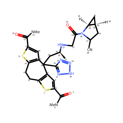 CNC(=O)c1cc2c(s1)CCc1sc(C(=O)NC)cc1C2(C[C@H](C)NCC(=O)N1C(C#N)C[C@@H]2C[C@@H]21)c1nn[nH]n1